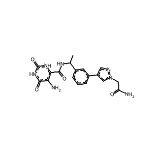 CC(NC(=O)c1[nH]c(=O)[nH]c(=O)c1N)c1cccc(-c2cnn(CC(N)=O)c2)c1